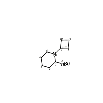 CCCCC1CCCCN1C1=CCC1